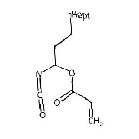 C=CC(=O)OC(CCCCCCCCC)N=C=O